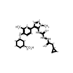 Cc1nc(-c2nnn(C)c2NC(=O)NNC(=O)CC2CC2)ccc1O[C@H]1CCC[C@H](C(=O)O)C1